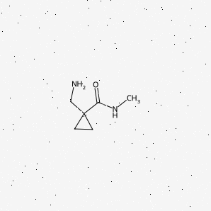 CNC(=O)C1(CN)CC1